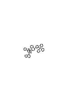 c1ccc(-c2cc(-c3cccc4ccccc34)nc(-c3ccc(-c4ccc5c(c4)C(c4ccccc4)(c4ccccc4)c4ccccc4-5)c4ccccc34)n2)cc1